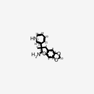 CC(Cc1ccc2c(c1)OCO2)(C(N)=O)C1=CNC=CC=C1